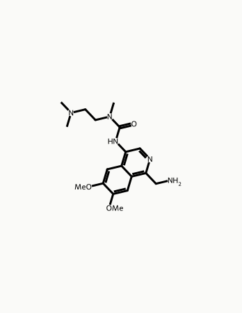 COc1cc2c(NC(=O)N(C)CCN(C)C)cnc(CN)c2cc1OC